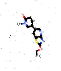 CCOc1nc2ncc(-c3ccc(=O)n(C)c3)cc2s1